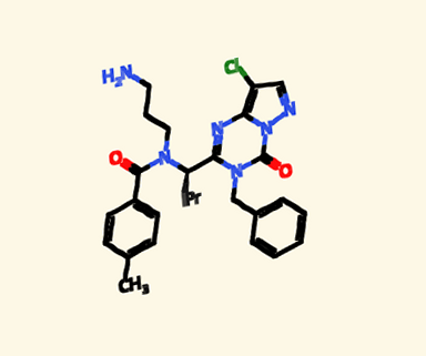 Cc1ccc(C(=O)N(CCCN)[C@@H](c2nc3c(Cl)cnn3c(=O)n2Cc2ccccc2)C(C)C)cc1